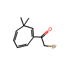 CC1(C)C=CC=CC(C(=O)CBr)=C1